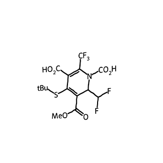 COC(=O)C1=C(SC(C)(C)C)C(C(=O)O)=C(C(F)(F)F)N(C(=O)O)C1C(F)F